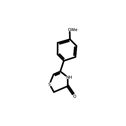 COc1ccc(C2=CSCC(=O)N2)cc1